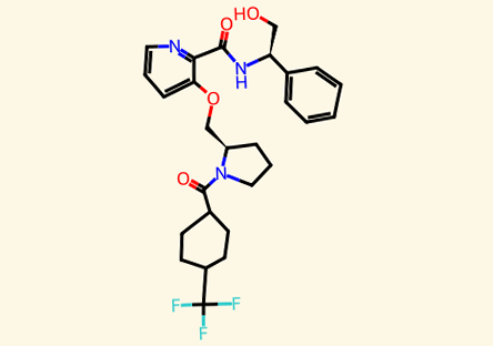 O=C(N[C@@H](CO)c1ccccc1)c1ncccc1OC[C@H]1CCCN1C(=O)C1CCC(C(F)(F)F)CC1